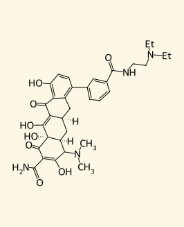 CCN(CC)CCNC(=O)c1cccc(-c2ccc(O)c3c2C[C@H]2C[C@H]4C(N(C)C)C(O)=C(C(N)=O)C(=O)[C@@]4(O)C(O)=C2C3=O)c1